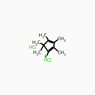 CC1=C(C)C(C)(C)[C]([Ir])=C1C.Cl.Cl